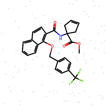 COC(=O)C1(NC(=O)c2ccc3ccccc3c2OCc2ccc(C(F)(F)F)cc2)CC=CC1